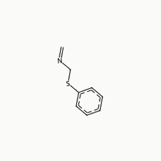 C=NCSc1ccccc1